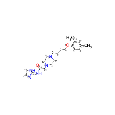 Cc1ccc(OCCCCN2CCN(CC(=O)Nc3ncc[nH]3)CC2)c(C)c1